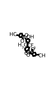 C#Cc1ccc2c(c1)C(=O)N(c1cc(C(C)(c3ccc(O)c(N4C(=O)c5ccc(C#C)cc5C4=O)c3)C(F)(F)F)ccc1O)C2=O